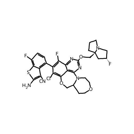 N#Cc1c(N)sc2c(F)ccc(-c3c(Cl)c4c5c(nc(OC[C@@]67CCCN6C[C@H](F)C7)nc5c3F)N3CCOCCC3CO4)c12